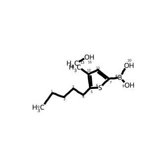 CCCCCc1sc(B(O)O)cc1C.CO